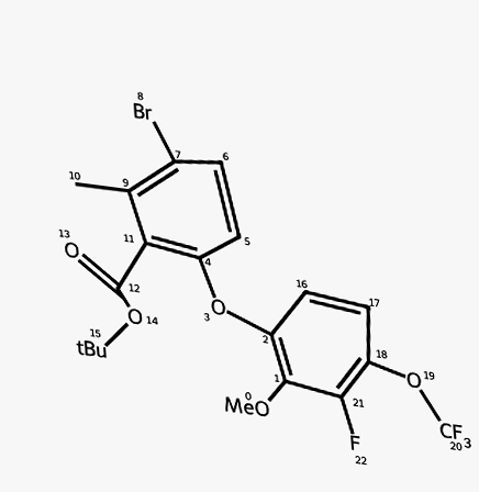 COc1c(Oc2ccc(Br)c(C)c2C(=O)OC(C)(C)C)ccc(OC(F)(F)F)c1F